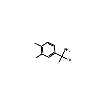 Cc1ccc(C(O)(F)P)cc1C